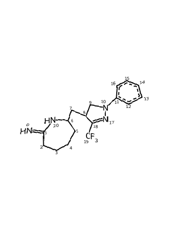 N=C1CCCCC(CC2CN(c3ccccc3)N=C2C(F)(F)F)N1